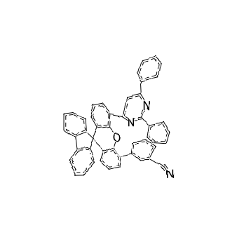 N#Cc1cccc(-c2cccc3c2Oc2c(-c4cc(-c5ccccc5)nc(-c5ccccc5)n4)cccc2C32c3ccccc3-c3ccccc32)c1